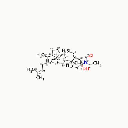 CCN(C=O)C1(O)CC[C@@]2(C)C(=CC[C@H]3[C@@H]4CC[C@H]([C@H](C)CCCC(C)C)[C@@]4(C)CC[C@@H]32)C1